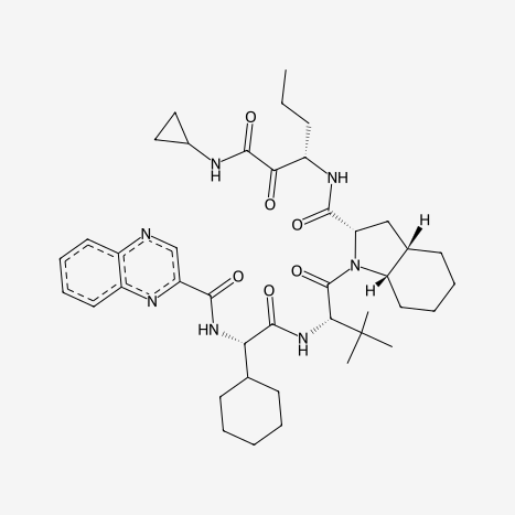 CCC[C@H](NC(=O)[C@@H]1C[C@@H]2CCCC[C@@H]2N1C(=O)[C@@H](NC(=O)[C@@H](NC(=O)c1cnc2ccccc2n1)C1CCCCC1)C(C)(C)C)C(=O)C(=O)NC1CC1